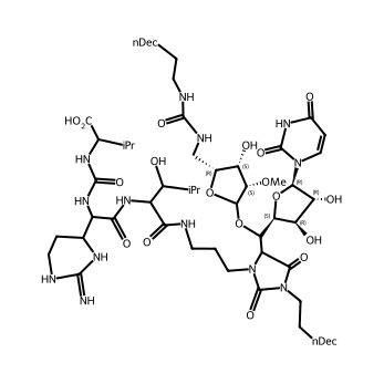 CCCCCCCCCCCCNC(=O)NC[C@H]1OC(OC(C2C(=O)N(CCCCCCCCCCCC)C(=O)N2CCCNC(=O)C(NC(=O)C(NC(=O)NC(C(=O)O)C(C)C)C2CCNC(=N)N2)C(O)C(C)C)[C@H]2O[C@@H](n3ccc(=O)[nH]c3=O)[C@H](O)[C@H]2O)[C@@H](OC)[C@H]1O